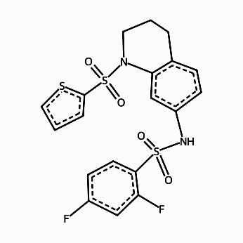 O=S(=O)(Nc1ccc2c(c1)N(S(=O)(=O)c1cccs1)CCC2)c1ccc(F)cc1F